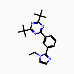 CCn1ccnc1-c1cccc(-c2nc(C(C)(C)C)nc(C(C)(C)C)n2)c1